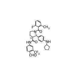 Cc1cccc(F)c1C(=O)N1CCC[C@H](C(=O)Nc2ccc(C=O)c(C(F)(F)F)c2)C1c1ccc(NC2CCCC2)cc1